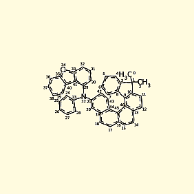 CC1(C)c2ccccc2-c2c1ccc1ccc3ccc4cc(N(c5ccccc5)c5cccc6oc7ccccc7c56)ccc4c3c21